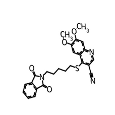 COc1cc2ncc(C#N)c(SCCCCCN3C(=O)c4ccccc4C3=O)c2cc1OC